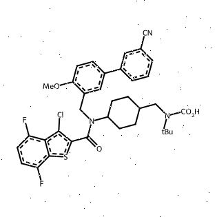 COc1ccc(-c2cccc(C#N)c2)cc1CN(C(=O)c1sc2c(F)ccc(F)c2c1Cl)C1CCC(CN(C(=O)O)C(C)(C)C)CC1